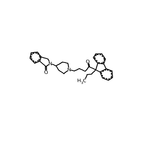 CCCC1(C(=O)CCCN2CCC(N3Cc4ccccc4C3=O)CC2)c2ccccc2-c2ccccc21